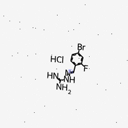 Cl.N=C(N)N/N=C/c1ccc(Br)cc1F